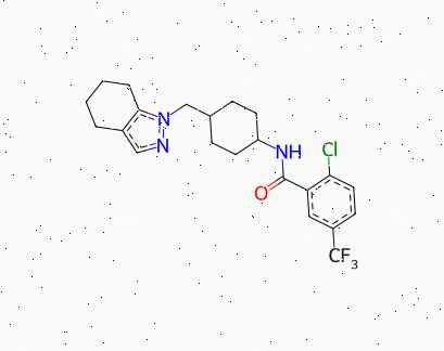 O=C(NC1CCC(Cn2ncc3c2CCCC3)CC1)c1cc(C(F)(F)F)ccc1Cl